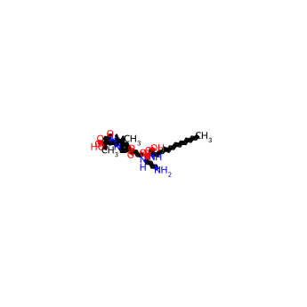 CCCCCCCCCCCCCCCCC(NC(=O)C(CCCCN)NC(=O)CCC(=O)Oc1ccc2nc3c(c(CC)c2c1)Cn1c-3cc2c(c1=O)COC(=O)[C@]2(O)CC)C(=O)O